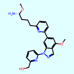 COc1cc(-c2cccc(CCC[C@H](N)OC)n2)cc2c1cnn2-c1cccc(CO)n1